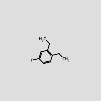 CCc1[c]cc(F)cc1CC